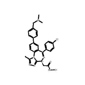 CCNC(=O)C[C@@H]1N=C(c2ccc(Cl)cc2)c2cc(-c3ccc(CN(C)C)cc3)ccc2-n2c(C)nnc21